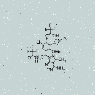 COc1c(C(C)n2nc(C)c3c(N)ncnc32)cc(Cl)c(F)c1C1CN(C(C)C)C1.O=C(O)C(F)(F)F.O=C(O)C(F)(F)F